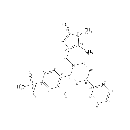 Cc1cc(S(C)(=O)=O)ccc1C1CN(c2cnccn2)CCN1Cc1cnn(C)c1C.Cl